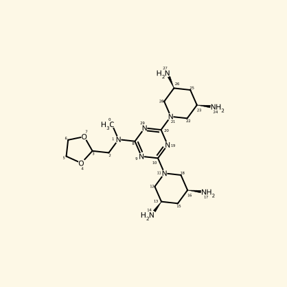 CN(CC1OCCO1)c1nc(N2C[C@H](N)C[C@H](N)C2)nc(N2C[C@H](N)C[C@H](N)C2)n1